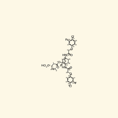 N[C@@H](CC(=O)O[C@@H]1CC2(NC(=O)COc3ccc(Cl)c(F)c3)CCC1(NC(=O)COc1ccc(Cl)c(F)c1)CC2)C(=O)O